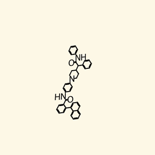 O=C(Nc1ccc(N2CCC(C(C(=O)Nc3ccccc3)c3ccccc3)CC2)cc1)c1ccccc1-c1cccc2ccccc12